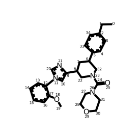 CCc1ccc(C2CC(c3cn(-c4ccccc4OC)cn3)CN(C(=O)N3CCOCC3)C2)cc1